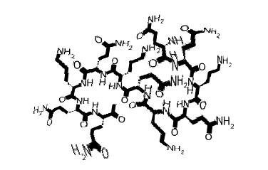 CC(=O)[C@H](CCC(N)=O)NC(=O)[C@H](CCC(N)=O)NC(=O)[C@H](CCCN)NC(=O)[C@H](CCC(N)=O)NC(=O)[C@H](CCCN)NC(=O)[C@H](CCC(N)=O)NC(=O)[C@H](CCCN)NC(=O)[C@H](CCC(N)=O)NC(=O)[C@H](CCCN)NC(=O)[C@H](CCC(N)=O)NC(=O)[C@@H](N)CCC(N)=O